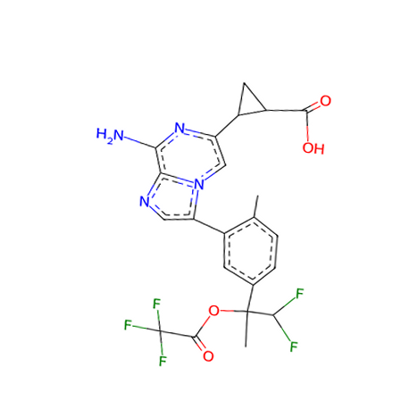 Cc1ccc(C(C)(OC(=O)C(F)(F)F)C(F)F)cc1-c1cnc2c(N)nc(C3CC3C(=O)O)cn12